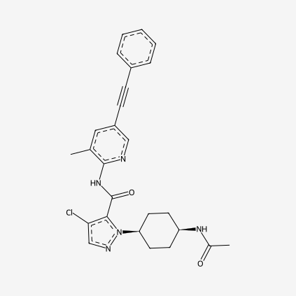 CC(=O)N[C@H]1CC[C@@H](n2ncc(Cl)c2C(=O)Nc2ncc(C#Cc3ccccc3)cc2C)CC1